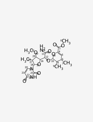 COC(=O)C1=CC(C)C(C)C(OC(C(N)=O)C2OC(n3ccc(=O)[nH]c3=O)C(C)C2OC)O1